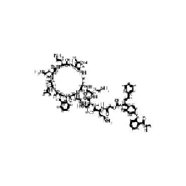 CNC(=O)c1ccccc1Sc1ccc2c(/C=C/c3ccccn3)n(C(=O)OCC(=O)N[C@@H](CCN)C(=O)N[C@H](C(=O)N[C@@H](CCN)C(=O)N[C@H]3CCNC(=O)[C@H]([C@@H](C)O)NC(=O)[C@H](CCN)NC(=O)[C@H](CCN)N(C)C(=O)[C@H](CC(C)C)NC(=O)[C@@H](Cc4ccccc4)NC(=O)[C@H](CCN)NC3=O)[C@@H](C)O)nc2c1